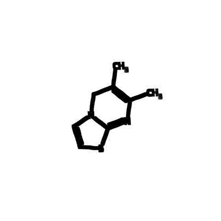 CC1=C(C)N=C2SC=CN2C1